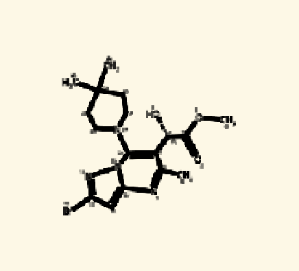 COC(=O)[C@@H](O)c1c(C)nc2cc(Br)nn2c1N1CCC(C)(C)CC1